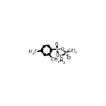 Cc1ccc(S(=O)(=O)OP(C)(C)=O)c(C)c1